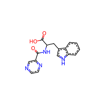 O=C(NC(Cc1c[nH]c2ccccc12)C(=O)O)c1cnccn1